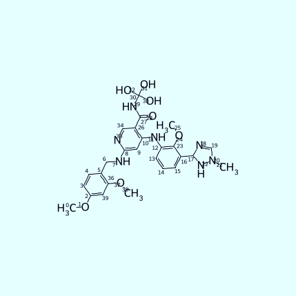 COc1ccc(CNc2cc(Nc3cccc(C4N=CN(C)N4)c3OC)c(C(=O)NC(O)(O)O)cn2)c(OC)c1